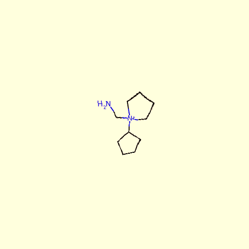 NC[N+]1(C2CCCC2)CCCC1